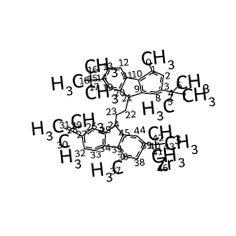 Cc1cc(C(C)(C)C)cc2c1-c1ccc(C(C)(C)C)cc1C2CCC1c2cc(C(C)(C)C)ccc2-c2c(C)cc(C(C)(C)C)cc21.[Zr]